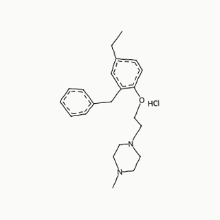 CCc1ccc(OCCN2CCN(C)CC2)c(Cc2ccccc2)c1.Cl